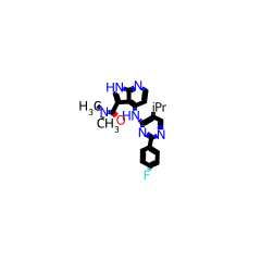 CC(C)c1cnc(-c2ccc(F)cc2)nc1Nc1ccnc2[nH]cc(C(=O)N(C)C)c12